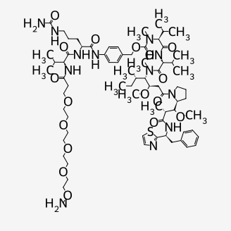 CC[C@H](C)[C@@H]([C@@H](CC(=O)N1CCC[C@H]1C(OC)[C@@H](C)C(=O)N[C@@H](Cc1ccccc1)c1nccs1)OC)N(C)C(=O)[C@@H](NC(=O)[C@H](C(C)C)N(C)C(=O)OCc1ccc(NC(=O)[C@H](CCCNC(N)=O)NC(=O)[C@@H](NC(=O)CCOCCOCCOCCOCCON)C(C)C)cc1)C(C)C